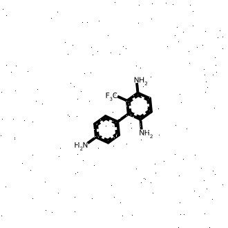 Nc1ccc(-c2c(N)ccc(N)c2C(F)(F)F)cc1